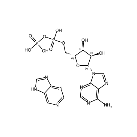 Nc1ncnc2c1ncn2[C@@H]1O[C@H](COP(=O)(O)OP(=O)(O)O)[C@@H](O)[C@H]1O.c1ncc2[nH]cnc2n1